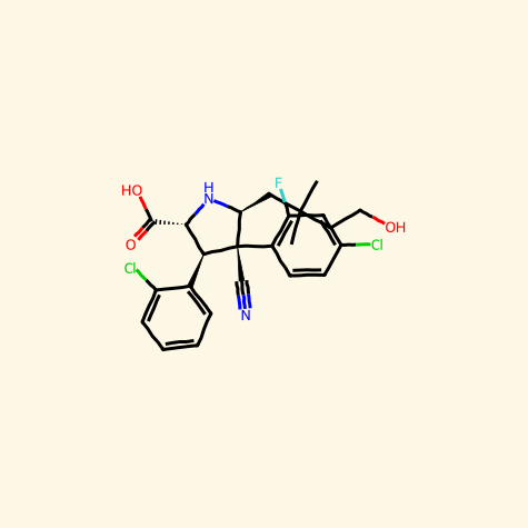 CC(C)(CCO)C[C@@H]1N[C@@H](C(=O)O)[C@H](c2ccccc2Cl)[C@@]1(C#N)c1ccc(Cl)cc1F